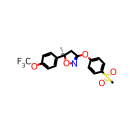 C[C@]1(c2ccc(OC(F)(F)F)cc2)CC(Oc2ccc(S(C)(=O)=O)cc2)=NO1